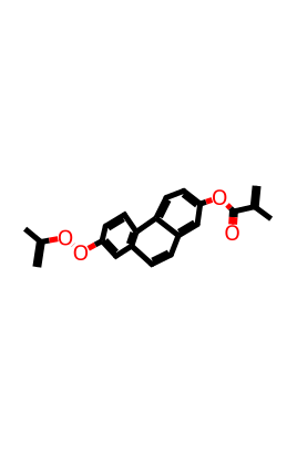 C=C(C)OOc1ccc2c(ccc3cc(OC(=O)C(=C)C)ccc32)c1